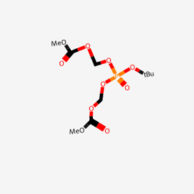 COC(=O)OCOP(=O)(OCOC(=O)OC)OC(C)(C)C